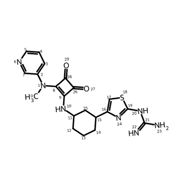 CN(c1cccnc1)c1c(NC2CCCC(c3csc(NC(=N)N)n3)C2)c(=O)c1=O